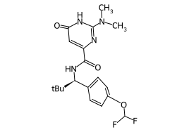 CN(C)c1nc(C(=O)N[C@@H](c2ccc(OC(F)F)cc2)C(C)(C)C)cc(=O)[nH]1